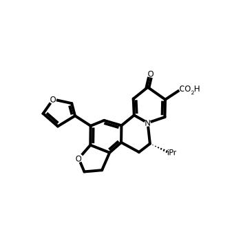 CC(C)[C@@H]1Cc2c(cc(-c3ccoc3)c3c2CCO3)-c2cc(=O)c(C(=O)O)cn21